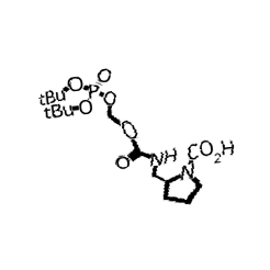 CC(C)(C)OP(=O)(OCOC(=O)NC[C@@H]1CCCN1C(=O)O)OC(C)(C)C